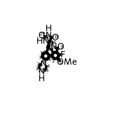 COc1ccc2c(c1F)C(=O)N(C[C@@]1(C#Cc3ccc(N4CCNCC4)cc3)NC(=O)NC1=O)C2